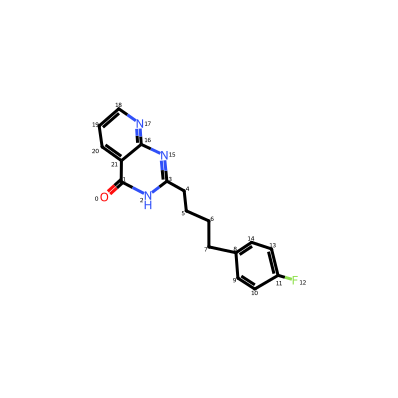 O=c1[nH]c(CCCCc2ccc(F)cc2)nc2ncccc12